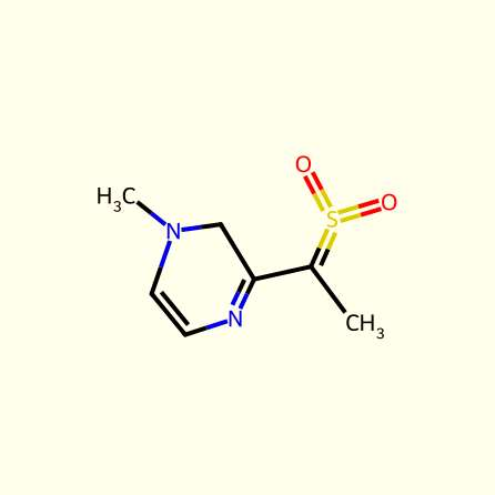 CC(C1=NC=CN(C)C1)=S(=O)=O